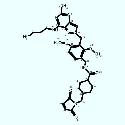 CCCCNc1nc(N)nc2cn(Cc3c(OC)ccc(CNC(=O)C4CCC(CN5C(=O)C=CC5=O)CC4)c3OC)nc12